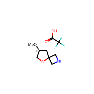 CO[C@@H]1COC2(CNC2)C1.O=C(O)C(F)(F)F